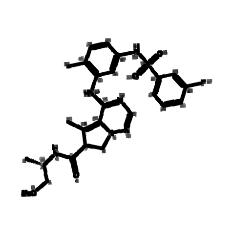 COC[C@H](C)NC(=O)C1CN2N=CN=C(Nc3cc(NS(=O)(=O)c4cccc(F)c4)ccc3C)C2=C1C